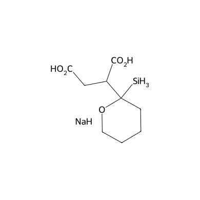 O=C(O)CC(C(=O)O)C1([SiH3])CCCCO1.[NaH]